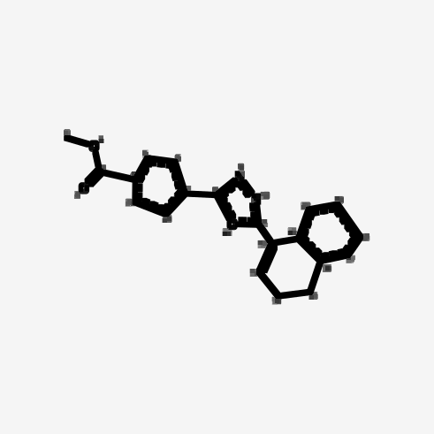 COC(=O)c1ccc(-c2nnc(C3=CCCc4ccccc43)o2)cc1